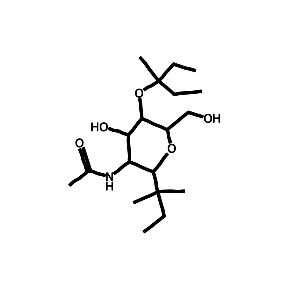 CCC(C)(CC)OC1C(CO)OC(C(C)(C)CC)C(NC(C)=O)C1O